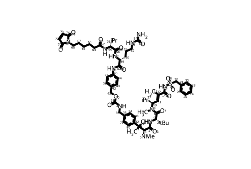 CN[C@H](C(=O)N[C@H](C(=O)N(C)[C@H](/C=C(\C)C(=O)NS(=O)(=O)Cc1ccccc1)C(C)C)C(C)(C)C)C(C)(C)c1ccc(CNC(=O)OCc2ccc(NC(=O)[C@@H](CCCNC(N)=O)NC(=O)[C@H](NC(=O)CCCCCN3C(=O)C=CC3=O)C(C)C)cc2)cc1